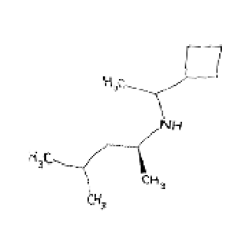 CC(C)C[C@H](C)NC(C)C1CCC1